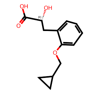 O=C(O)[C@H](O)Cc1ccccc1OCC1CC1